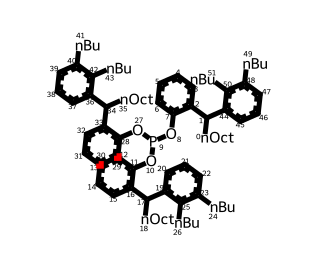 CCCCCCCCC(c1ccccc1OP(Oc1ccccc1C(CCCCCCCC)c1cccc(CCCC)c1CCCC)Oc1ccccc1C(CCCCCCCC)c1cccc(CCCC)c1CCCC)c1cccc(CCCC)c1CCCC